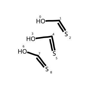 OC=S.OC=S.OC=S